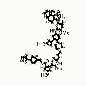 COc1cc(N2CCN(CCCC(=O)N[C@H](C(=O)N3C[C@H](O)C[C@H]3C(=O)NCc3ccc(-c4scnc4C)cc3)C(C)(C)C)CC2)c(-c2cnn(C)c2)cc1Nc1ncc(Br)c(Nc2ccc3nccnc3c2P(C)(C)=O)n1